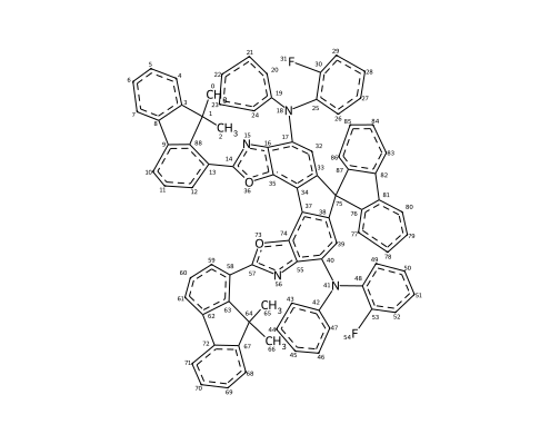 CC1(C)c2ccccc2-c2cccc(-c3nc4c(N(c5ccccc5)c5ccccc5F)cc5c(c4o3)-c3c(cc(N(c4ccccc4)c4ccccc4F)c4nc(-c6cccc7c6C(C)(C)c6ccccc6-7)oc34)C53c4ccccc4-c4ccccc43)c21